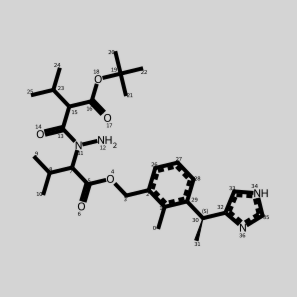 Cc1c(COC(=O)C(C(C)C)N(N)C(=O)C(C(=O)OC(C)(C)C)C(C)C)cccc1[C@H](C)c1c[nH]cn1